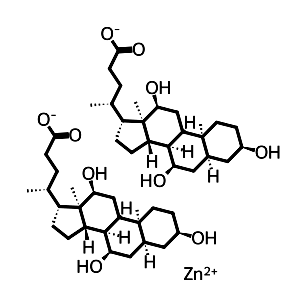 C[C@H](CCC(=O)[O-])[C@H]1CC[C@H]2[C@@H]3[C@H](O)C[C@@H]4C[C@H](O)CC[C@]4(C)[C@H]3C[C@H](O)[C@]12C.C[C@H](CCC(=O)[O-])[C@H]1CC[C@H]2[C@@H]3[C@H](O)C[C@@H]4C[C@H](O)CC[C@]4(C)[C@H]3C[C@H](O)[C@]12C.[Zn+2]